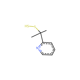 CC(C)(SS)c1ccccn1